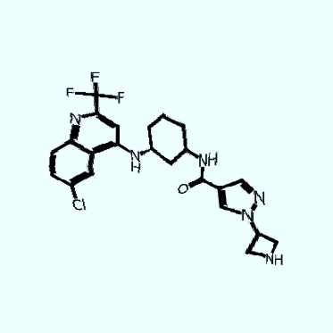 O=C(NC1CCC[C@H](Nc2cc(C(F)(F)F)nc3ccc(Cl)cc23)C1)c1cnn(C2CNC2)c1